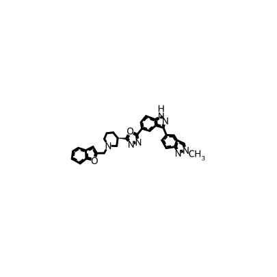 Cn1cc2cc(-c3n[nH]c4ccc(-c5nnc([C@@H]6CCCN(Cc7cc8ccccc8o7)C6)o5)cc34)ccc2n1